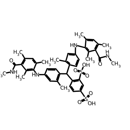 CNC(=O)c1c(C)cc(C)c(Nc2ccc(C(c3ccc(Nc4c(C)cc(C)c(C(=O)NC)c4C)cc3C)c3ccc(S(=O)(=O)O)cc3S(=O)(=O)O)c(C)c2)c1C